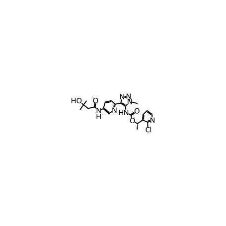 C[C@@H](OC(=O)Nc1c(-c2ccc(NC(=O)CC(C)(C)O)cn2)nnn1C)c1cccnc1Cl